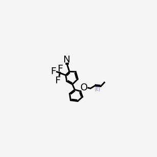 C/C=C/COc1ccccc1-c1ccc(C#N)c(C(F)(F)F)c1